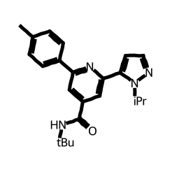 Cc1ccc(-c2cc(C(=O)NC(C)(C)C)cc(-c3ccnn3C(C)C)n2)cc1